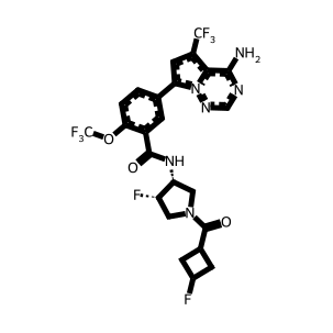 Nc1ncnn2c(-c3ccc(OC(F)(F)F)c(C(=O)N[C@@H]4CN(C(=O)C5CC(F)C5)C[C@@H]4F)c3)cc(C(F)(F)F)c12